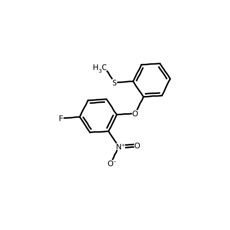 CSc1ccccc1Oc1ccc(F)cc1[N+](=O)[O-]